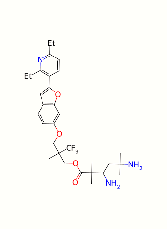 CCc1ccc(-c2cc3ccc(OCC(C)(COC(=O)C(C)(C)C(N)CC(C)(C)N)C(F)(F)F)cc3o2)c(CC)n1